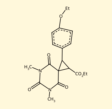 CCOC(=O)C1C(c2ccc(OCC)cc2)C12C(=O)N(C)C(=O)N(C)C2=O